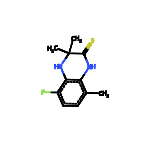 Cc1ccc(F)c2c1NC(=S)C(C)(C)N2